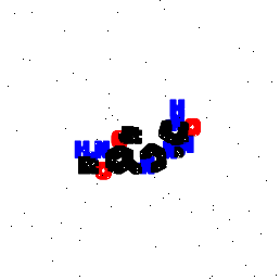 CCOc1cc(CN2CCC(n3cnc4c(=O)[nH]ccc43)CC2)cc(OCC)c1N